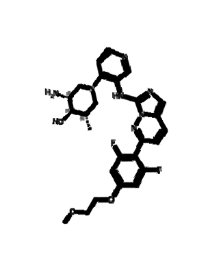 COCCOc1cc(F)c(-c2ccc3cnc(Nc4cnccc4N4C[C@@H](N)[C@H](O)[C@@H](C)C4)n3n2)c(F)c1